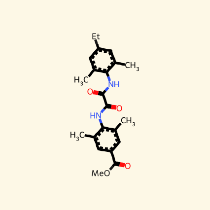 CCc1cc(C)c(NC(=O)C(=O)Nc2c(C)cc(C(=O)OC)cc2C)c(C)c1